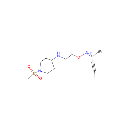 CC#C/C(=N\OCCNC1CCN(S(C)(=O)=O)CC1)C(C)C